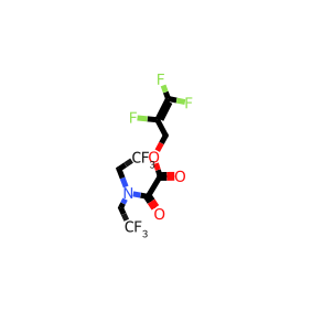 O=C(OCC(F)=C(F)F)C(=O)N(CC(F)(F)F)CC(F)(F)F